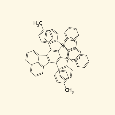 Cc1ccc(-c2c3c(c(-c4ccc(C)cc4)c([Si](c4ccccc4)(c4ccccc4)c4ccccc4)c2[Si](c2ccccc2)(c2ccccc2)c2ccccc2)-c2cccc4cccc-3c24)cc1